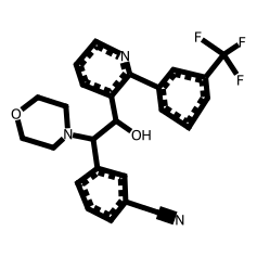 N#Cc1cccc(C(C(O)c2cccnc2-c2cccc(C(F)(F)F)c2)N2CCOCC2)c1